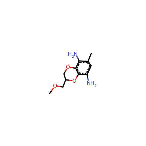 COCC1COc2c(N)c(C)cc(N)c2O1